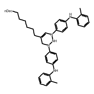 CCCCCCCCCCCCCCCCC1=CN(c2ccc(Nc3ccccc3C)cc2)NN(c2ccc(Nc3ccccc3C)cc2)C1